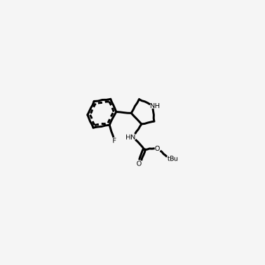 CC(C)(C)OC(=O)NC1CNCC1c1ccccc1F